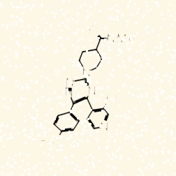 CNC(=O)C1CCN(c2nnc(-c3ccc(C(F)(F)F)cc3)c(-c3ccncc3Cl)n2)CC1